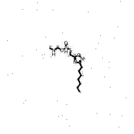 CCCCCCCc1noc(CS[PH](=O)OCNC)n1